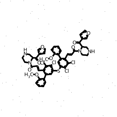 COc1ccccc1-c1cc(Sc2cc(-c3ccccc3OC)c(C=CC(=O)N3CCNCC3C(=O)c3ccoc3)c(Cl)c2Cl)c(Cl)c(Cl)c1C=CC(=O)N1CCNCC1C(=O)c1ccoc1